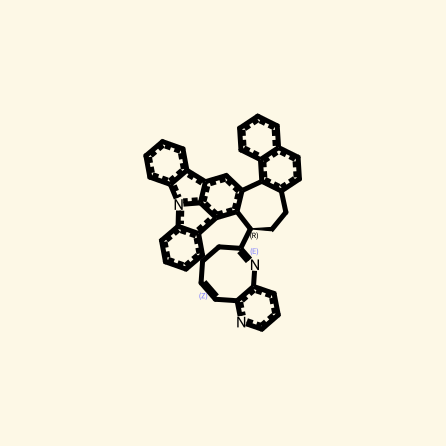 C1=C\c2ncccc2/N=C(/[C@@H]2CCc3ccc4ccccc4c3-c3cc4c5ccccc5n5c6ccccc6c(c32)c45)CC/1